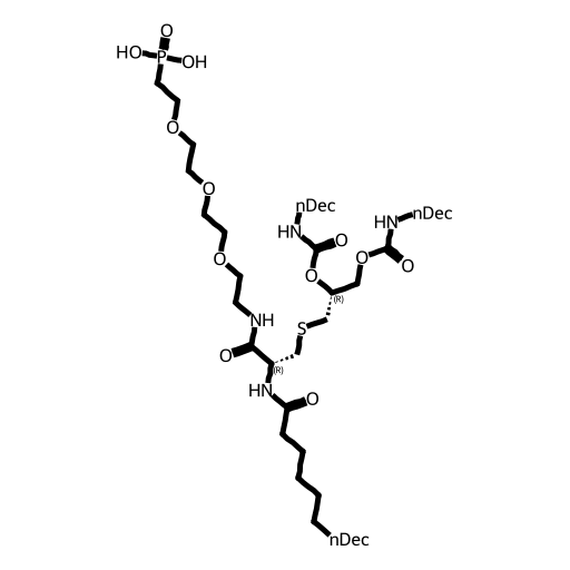 CCCCCCCCCCCCCCCC(=O)N[C@@H](CSC[C@@H](COC(=O)NCCCCCCCCCC)OC(=O)NCCCCCCCCCC)C(=O)NCCOCCOCCOCCP(=O)(O)O